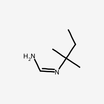 CCC(C)(C)/N=C\N